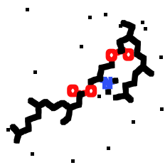 CCC(CCCC(C)CCCC(C)C)CC(=O)OCCC(COC(=O)CC(CC)CCCC(C)CCCC(C)C)N(C)C